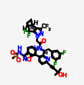 CC(C)(O)C#Cc1ccc(-c2cccc3c(NS(C)(=O)=O)noc23)c([C@H](Cc2cc(F)cc(F)c2)NC(=O)Cn2nc(C(F)(F)F)c3c2C(F)(F)[C@@H]2CC[C@H]32)n1